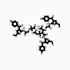 CCc1cc(C(=O)c2ccc(F)cc2)c(NC(=O)CSC(C(=O)O)C(C(=O)Nc2sc(CC)cc2C(=O)c2ccc(F)cc2)C(C)(C)CC(=O)OC(=O)C(C)(C)SCC(=O)Nc2sc(CC)cc2C(=O)c2ccc(F)cc2)s1